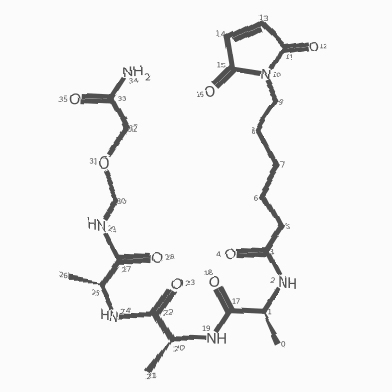 C[C@H](NC(=O)CCCCCN1C(=O)C=CC1=O)C(=O)N[C@@H](C)C(=O)N[C@@H](C)C(=O)NCOCC(N)=O